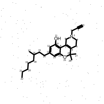 C#CCN1CCC2=C(C1)c1c(O)cc(CCC(C)CCCCC)cc1OC2(C)C